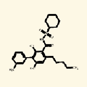 CCCCCc1cc(O)c(-c2cccc(C)c2)c(O)c1C(=O)NS(=O)(=O)C1CCCCC1